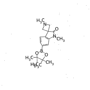 CN1CC2(C1)C(=O)N(C)c1cc(B3OC(C)(C)C(C)(C)O3)ccc12